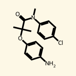 CN(C(=O)C(C)(C)Oc1ccc(N)cc1)c1ccc(Cl)cc1